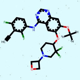 [2H]C([2H])([2H])Oc1cc2ncnc(Nc3ccc(F)c(C#C)c3F)c2cc1OC1CCN(C2COC2)CC1(F)F